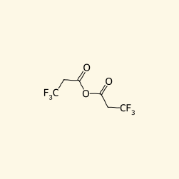 O=C(CC(F)(F)F)OC(=O)CC(F)(F)F